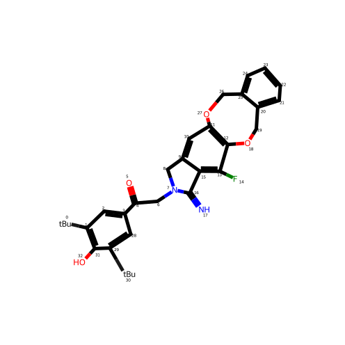 CC(C)(C)c1cc(C(=O)CN2Cc3cc4c(c(F)c3C2=N)OCc2ccccc2CO4)cc(C(C)(C)C)c1O